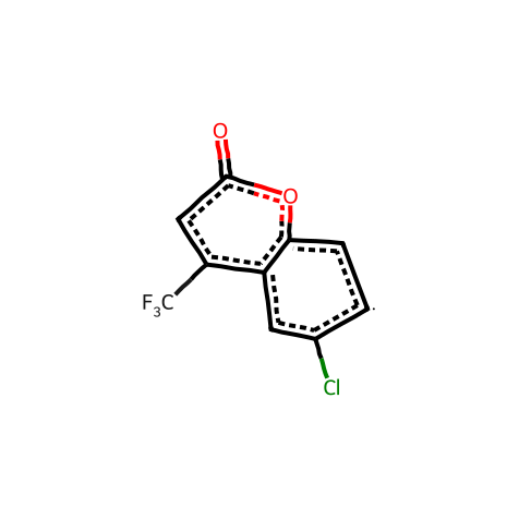 O=c1cc(C(F)(F)F)c2cc(Cl)[c]cc2o1